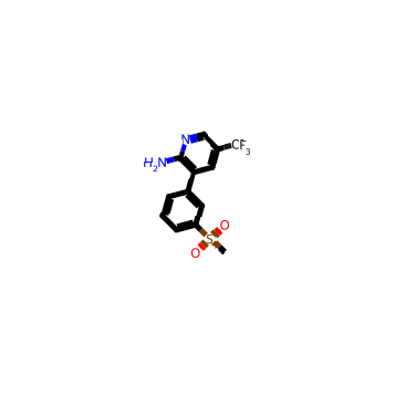 CS(=O)(=O)c1cccc(-c2cc(C(F)(F)F)cnc2N)c1